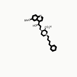 COc1ccc2nccc([C@H](O)CC[C@@H]3CCN(CCCCc4ccccc4)C[C@@H]3C(=O)O)c2c1